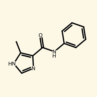 Cc1[nH]cnc1C(=O)Nc1ccccc1